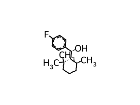 C[C@H]1CCCC(C)(C)[C@@H]1[C@@H](O)c1ccc(F)cc1